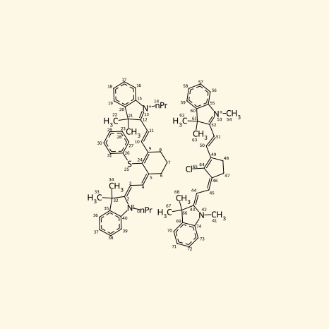 CCCN1/C(=C\C=C2\CCCC(/C=C/C3=[N+](CCC)c4ccccc4C3(C)C)=C2Sc2ccccc2)C(C)(C)c2ccccc21.CN1/C(=C\C=C2\CCC(/C=C/C3=[N+](C)c4ccccc4C3(C)C)=C2Cl)C(C)(C)c2ccccc21